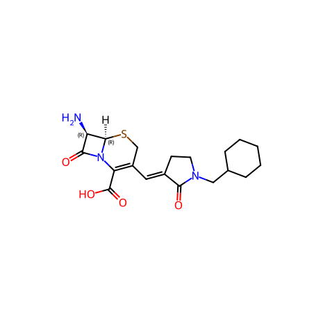 N[C@@H]1C(=O)N2C(C(=O)O)=C(C=C3CCN(CC4CCCCC4)C3=O)CS[C@H]12